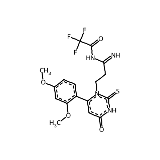 COc1ccc(-c2cc(=O)[nH]c(=S)n2CCC(=N)NC(=O)C(F)(F)F)c(OC)c1